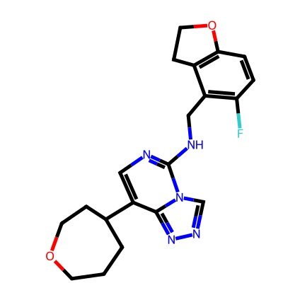 Fc1ccc2c(c1CNc1ncc(C3CCCOCC3)c3nncn13)CCO2